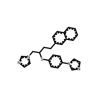 c1ccc2cc(CCC(Cn3ccnc3)Sc3ccc(-n4ccnc4)cc3)ccc2c1